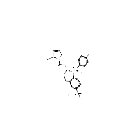 O=C(C[C@@H]1CCc2cc(C(O)(C(F)(F)F)C(F)(F)F)ccc2N1S(=O)(=O)c1ccc(F)cc1)N1CC=CC1CO